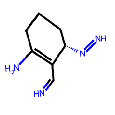 N=CC1=C(N)CCC[C@@H]1N=N